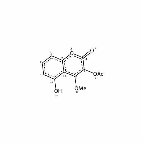 COc1c(OC(C)=O)c(=O)oc2cccc(O)c12